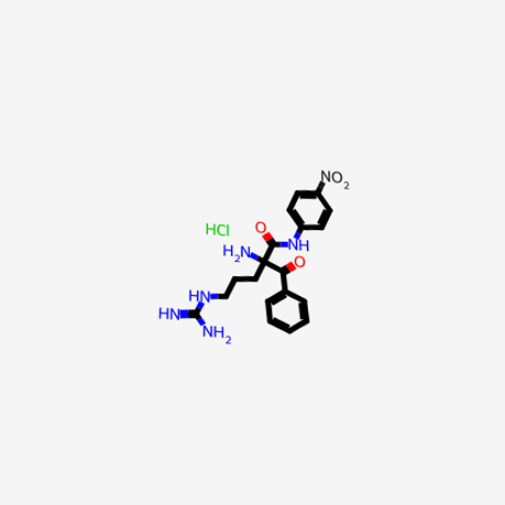 Cl.N=C(N)NCCCC(N)(C(=O)Nc1ccc([N+](=O)[O-])cc1)C(=O)c1ccccc1